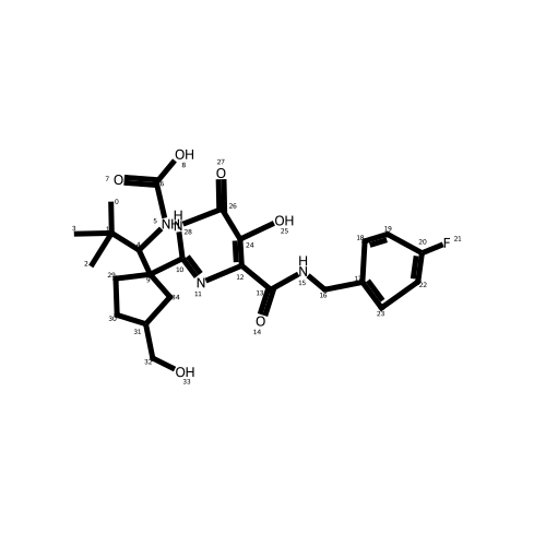 CC(C)(C)C(NC(=O)O)C1(c2nc(C(=O)NCc3ccc(F)cc3)c(O)c(=O)[nH]2)CCC(CO)C1